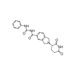 O=C1CCC(N2Cc3ccc(C(=O)NC(=O)Nc4ccccc4)cc3C2)C(=O)N1